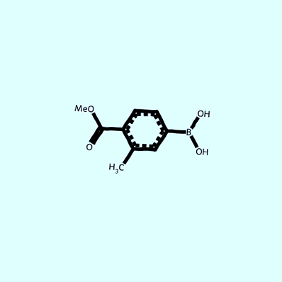 COC(=O)c1ccc(B(O)O)cc1C